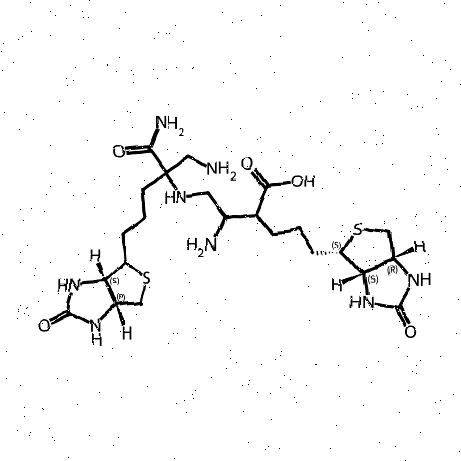 NCC(CCCC1SC[C@@H]2NC(=O)N[C@H]12)(NCC(N)C(CCC[C@@H]1SC[C@@H]2NC(=O)N[C@@H]21)C(=O)O)C(N)=O